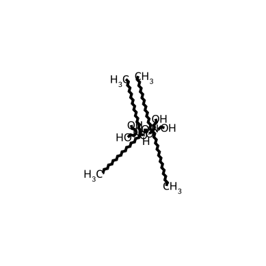 CCCCCCCCCCCCCCCCCCC(CCCCCCCCCCCCCCCCCC)(O[PH](=O)OC(CCCCCCCCCCCCCCCCCC)(CCCCCCCCCCCCCCCCCC)N(CCO)CCO)N(CCO)CCO